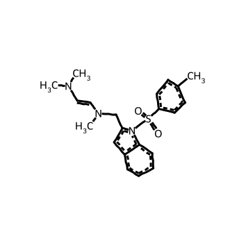 Cc1ccc(S(=O)(=O)n2c(CN(C)C=CN(C)C)cc3ccccc32)cc1